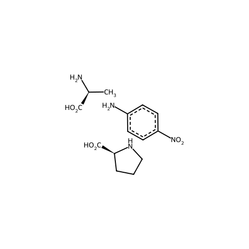 C[C@H](N)C(=O)O.Nc1ccc([N+](=O)[O-])cc1.O=C(O)[C@@H]1CCCN1